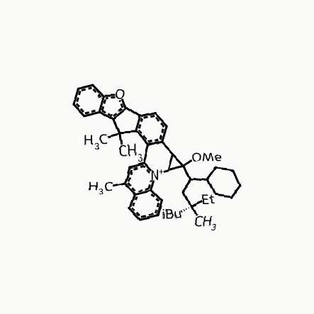 CCC(C)[C@@](C)(CC)CC(C1CCCCC1)C1(OC)C2c3ccc4c(c3-c3cc(C)c5ccccc5[n+]3C21)C(C)(C)c1c-4oc2ccccc12